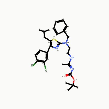 C/C(=N\C(=O)OC(C)(C)C)NCCN(Cc1ccccc1)c1nc(-c2ccc(Cl)c(Cl)c2)c(CC(C)C)s1